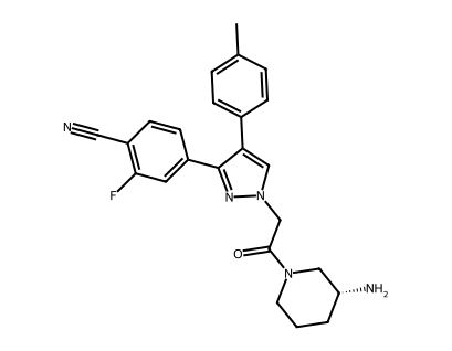 Cc1ccc(-c2cn(CC(=O)N3CCC[C@@H](N)C3)nc2-c2ccc(C#N)c(F)c2)cc1